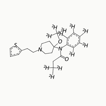 [2H]c1c([2H])c([2H])c(N(C(=O)CC([2H])([2H])[2H])C2(OC([2H])([2H])[2H])CCN(CCc3cccs3)CC2)c([2H])c1[2H]